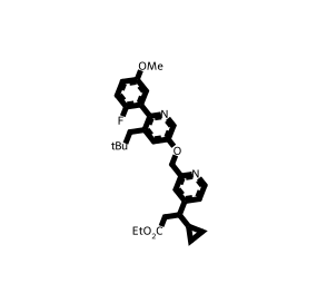 CCOC(=O)CC(c1ccnc(COc2cnc(-c3cc(OC)ccc3F)c(CC(C)(C)C)c2)c1)C1CC1